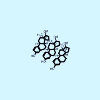 C[C@]12CC[C@@H]3c4ccc(O)cc4CC[C@H]3[C@@H]1CC[C@@H]2O.C[C@]12CC[C@@H]3c4ccc(O)cc4CC[C@H]3[C@@H]1CC[C@@H]2O.C[C@]12CC[C@@H]3c4ccc(O)cc4CC[C@H]3[C@@H]1CC[C@@H]2O